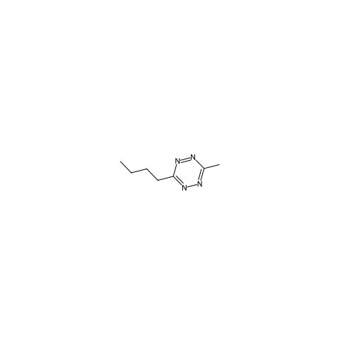 CCCCc1nnc(C)nn1